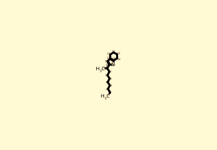 CCCCCCCCC(C)C1=CC2=C(CCCC2)[N]1